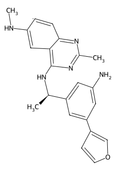 CNc1[c]cc2nc(C)nc(N[C@H](C)c3cc(N)cc(-c4ccoc4)c3)c2c1